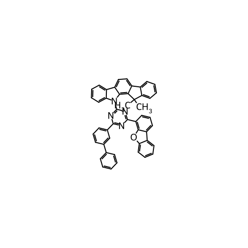 CC1(C)c2ccccc2-c2ccc3c4ccccc4n(-c4nc(-c5cccc(-c6ccccc6)c5)nc(-c5cccc6c5oc5ccccc56)n4)c3c21